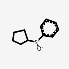 [O-][S+](c1ccccc1)C1CCCC1